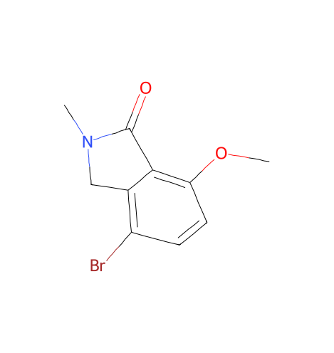 COc1ccc(Br)c2c1C(=O)N(C)C2